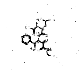 CCNC(=O)C(=O)[C@@H](NC(=O)[C@H](CC(C)C)NC(=O)O)C(C)c1ccccc1